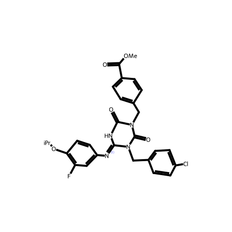 COC(=O)c1ccc(Cn2c(=O)[nH]/c(=N\c3ccc(OC(C)C)c(F)c3)n(Cc3ccc(Cl)cc3)c2=O)cc1